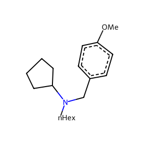 CCCCCCN(Cc1ccc(OC)cc1)C1CCCC1